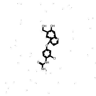 NC(=O)Nc1ccc(Oc2ccnc3cc(O)c(CO)cc23)cc1Cl